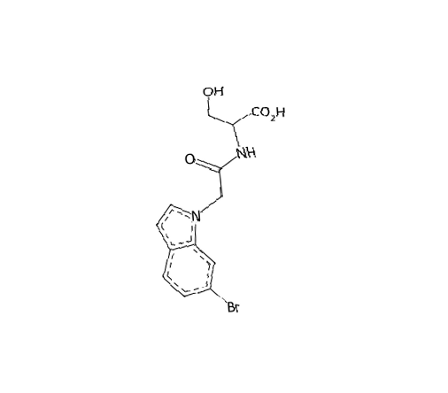 O=C(Cn1ccc2ccc(Br)cc21)NC(CO)C(=O)O